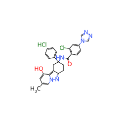 Cc1cc(O)c2c3c(nn2c1)CCC(NC(=O)c1ccc(-n2cnnc2)cc1Cl)(c1ccccc1)C3.Cl